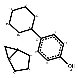 C1CC2CC2C1.Oc1ccc(C2CCCCC2)cc1